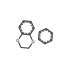 c1ccc2c(c1)OCCO2.c1ccccc1